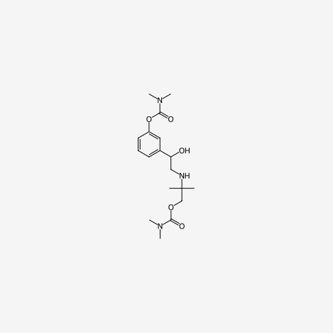 CN(C)C(=O)OCC(C)(C)NCC(O)c1cccc(OC(=O)N(C)C)c1